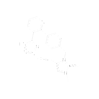 CCCCCc1cn(CC)c(=O)n1Cc1ccc(-c2ncccc2-c2nnn[nH]2)cc1